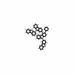 c1ccc(-c2ccc3c(c2-c2ccc4c5ccccc5n(-c5cccc6c5oc5ccccc56)c4c2)c2ccccc2n3-c2ccc3oc4ccccc4c3c2)cc1